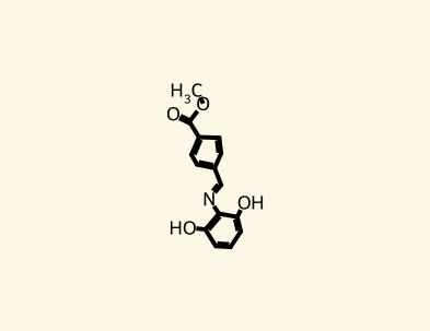 COC(=O)c1ccc(C=Nc2c(O)cccc2O)cc1